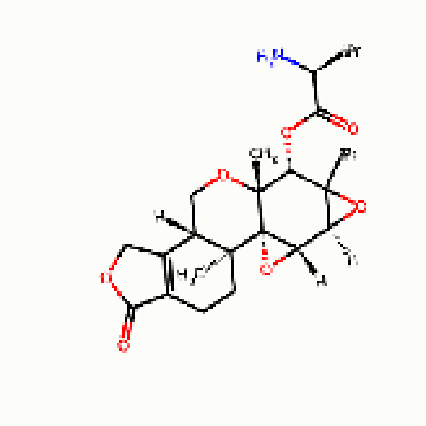 CC(C)[C@H](N)C(=O)O[C@@H]1C2(C(C)C)O[C@H]2[C@@H]2O[C@@]23[C@@]2(C)CCC4=C(COC4=O)[C@@H]2CO[C@]13C